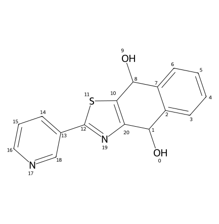 OC1c2ccccc2C(O)c2sc(-c3cccnc3)nc21